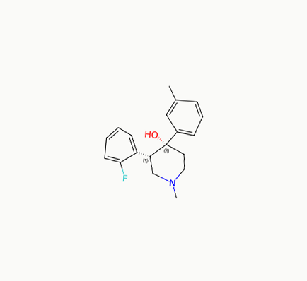 Cc1cccc([C@@]2(O)CCN(C)C[C@@H]2c2ccccc2F)c1